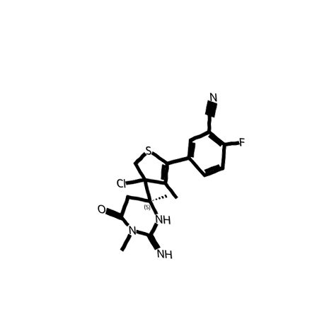 CC1=C(c2ccc(F)c(C#N)c2)SCC1(Cl)[C@]1(C)CC(=O)N(C)C(=N)N1